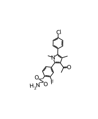 CC(=O)c1c(C)c(-c2ccc(Cl)cc2)n(C)c1-c1ccc(S(N)(=O)=O)c(F)c1